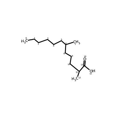 CCCCCCC(C)CCCC(C)C(=O)O